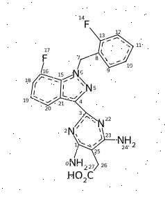 Nc1nc(-c2nn(Cc3ccccc3F)c3c(F)cccc23)nc(N)c1CC(=O)O